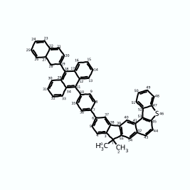 CC1(C)c2ccc(-c3ccc(-c4c5ccccc5c(C5=CC=C6C=CC=CC6C5)c5ccccc45)cc3)cc2-c2cc3c(ccc4sc5ccccc5c43)cc21